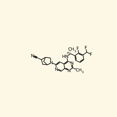 Cc1nc(N[C@H](C)c2cccc(C(F)F)c2F)c2cc(N3CC4CC3CC4C#N)ncc2n1